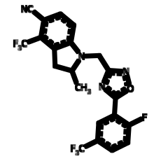 CC1Cc2c(ccc(C#N)c2C(F)(F)F)N1Cc1noc(-c2cc(C(F)(F)F)ccc2F)n1